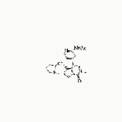 CC(=O)Nc1cc(-c2cn(C)c(=O)c3cc(CN4CCCC4C(F)(F)F)sc23)ccn1